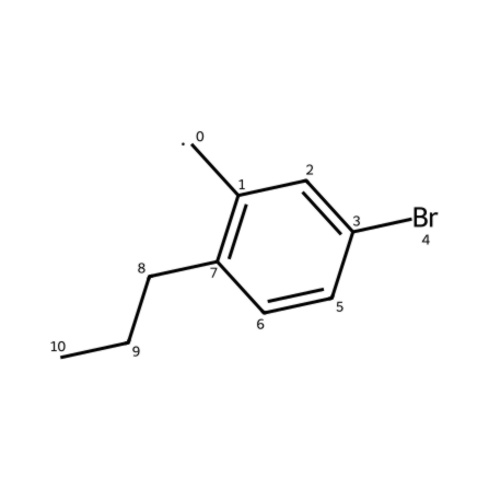 [CH2]c1cc(Br)ccc1CCC